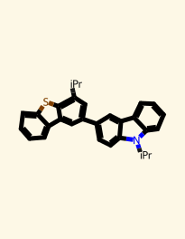 CC(C)c1cc(-c2ccc3c(c2)c2ccccc2n3C(C)C)cc2c1sc1ccccc12